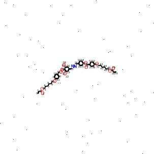 C=CC(=O)OCCCCCCOc1ccc(COOc2c(OC)cc(/C=N/N=C/c3ccc(OC(=O)c4ccc(OCCCCCCOC(=O)C=C)cc4)cc3)cc2OC)cc1